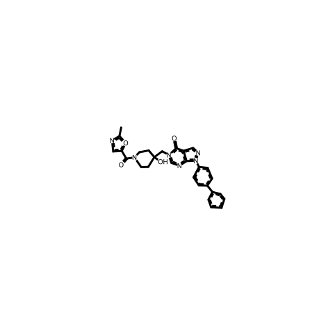 Cc1ncc(C(=O)N2CCC(O)(Cn3cnc4c(cnn4-c4ccc(-c5ccccc5)cc4)c3=O)CC2)o1